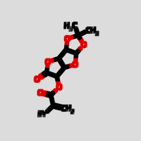 C=C(C(=O)OC1C(=O)OC2C3OC(C)(C)OC3OC12)C(C)C